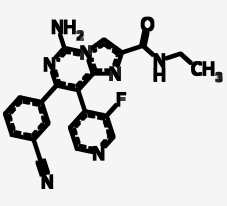 CCNC(=O)c1cn2c(N)nc(-c3cccc(C#N)c3)c(-c3ccncc3F)c2n1